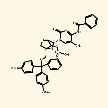 COc1ccc(C(OC[C@]23COC(C2O[PH](O)=S)[C@H](n2cc(C)c(NC(=O)c4ccccc4)nc2=O)O3)(c2ccccc2)c2ccc(OC)cc2)cc1